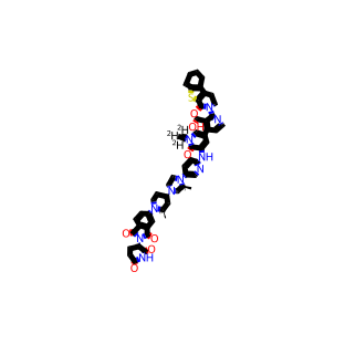 [2H]C([2H])([2H])n1cc(-c2ccnc(N3CCc4c(sc5c4CCCC5)C3=O)c2CO)cc(Nc2ccc(N3CCN([C@H]4CCN(c5ccc6c(c5)C(=O)N([C@H]5CCC(=O)NC5=O)C6=O)[C@@H](C)C4)C[C@@H]3C)cn2)c1=O